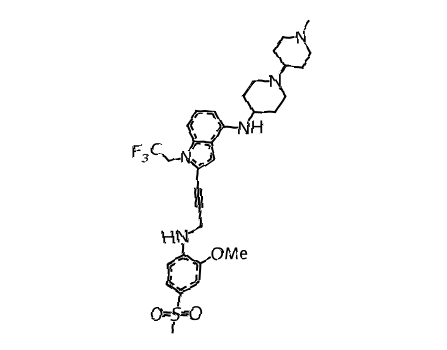 COc1cc(S(C)(=O)=O)ccc1NCC#Cc1cc2c(NC3CCN(C4CCN(C)CC4)CC3)cccc2n1CC(F)(F)F